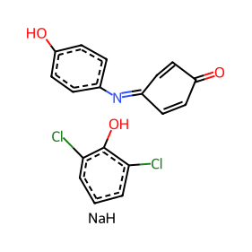 O=C1C=CC(=Nc2ccc(O)cc2)C=C1.Oc1c(Cl)cccc1Cl.[NaH]